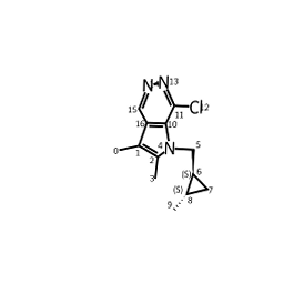 Cc1c(C)n(C[C@H]2C[C@@H]2C)c2c(Cl)nncc12